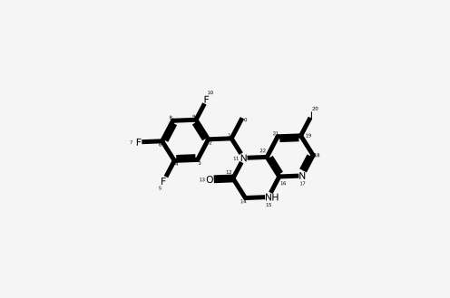 CC(c1cc(F)c(F)cc1F)N1C(=O)CNc2ncc(I)cc21